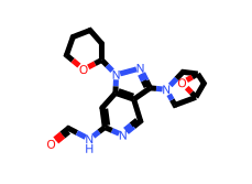 O=CNc1cc2c(cn1)c(N1CC3CC(C1)O3)nn2C1CCCCO1